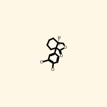 O=C1OC[C@@H]2CCCCC12c1ccc(Cl)c(Cl)c1